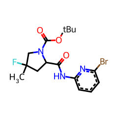 CC1(F)CC(C(=O)Nc2cccc(Br)n2)N(C(=O)OC(C)(C)C)C1